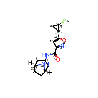 O=C(NC1C[C@H]2CC[C@@H](C1)N2)c1cc([C@@H]2C[C@H]2F)on1